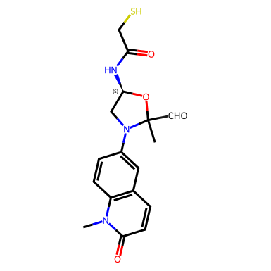 Cn1c(=O)ccc2cc(N3C[C@@H](NC(=O)CS)OC3(C)C=O)ccc21